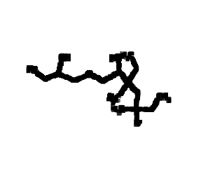 CCC(C)(Br)CC(C)(CC)C(O)COCC(O)CO